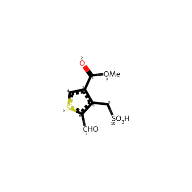 COC(=O)c1csc(C=O)c1CS(=O)(=O)O